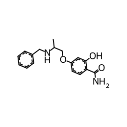 CC(COc1ccc(C(N)=O)c(O)c1)NCc1ccccc1